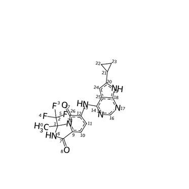 CC1(C(F)(F)F)NC(=O)c2ccc(Nc3ncnc4[nH]c(C5CC5)cc34)c(=O)n21